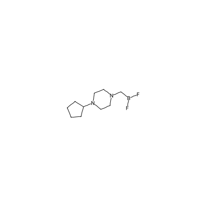 FB(F)CN1CCN(C2CCCC2)CC1